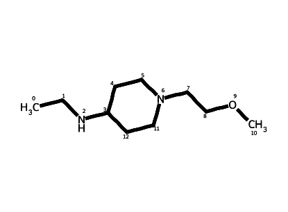 CCNC1CCN(CCOC)CC1